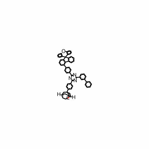 c1ccc(-c2cccc(-c3nc(-c4ccc(-c5cccc6c5-c5ccccc5C65c6ccccc6Oc6ccccc65)cc4)nc(-c4ccc(C56CCC7C[C@H](C[C@@H](C7)C5)C6)cc4)n3)c2)cc1